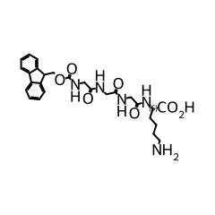 NCCCC[C@H](NC(=O)CNC(=O)CNC(=O)CNC(=O)OCC1c2ccccc2-c2ccccc21)C(=O)O